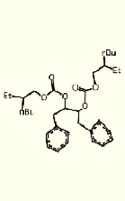 CCCCC(CC)COC(=O)OC(Cc1ccccc1)C(Cc1ccccc1)OC(=O)OCC(CC)CCCC